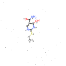 CCSc1ncc(C(N)=O)c(O)n1